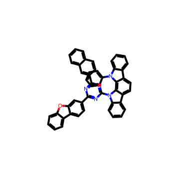 c1ccc(-n2c3ccccc3c3ccc4c5ccccc5n(-c5nc(-c6ccc7ccccc7c6)nc(-c6ccc7c(c6)oc6ccccc67)n5)c4c32)cc1